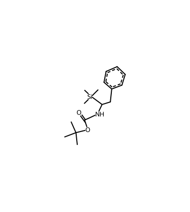 CC(C)(C)OC(=O)NC(Cc1ccccc1)[Si](C)(C)C